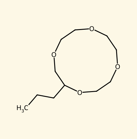 CCCC1COCCOCCOCCO1